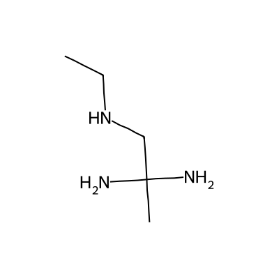 CCNCC(C)(N)N